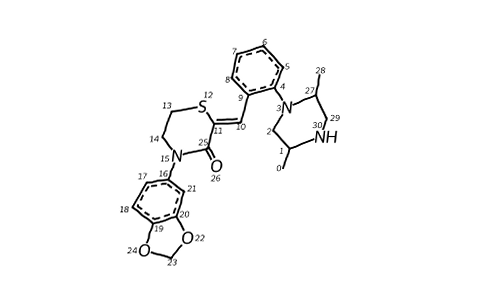 CC1CN(c2ccccc2/C=C2\SCCN(c3ccc4c(c3)OCO4)C2=O)C(C)CN1